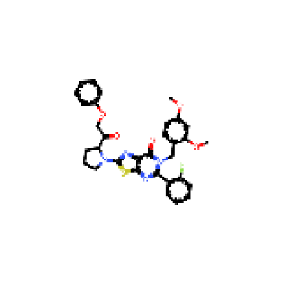 COc1ccc(Cn2c(-c3ccccc3F)nc3sc(N4CCCC4C(=O)COc4ccccc4)nc3c2=O)c(OC)c1